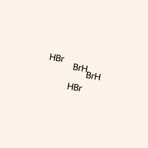 Br.Br.Br.Br